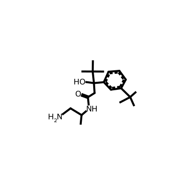 CC(CN)NC(=O)CC(O)(c1cccc(C(C)(C)C)c1)C(C)(C)C